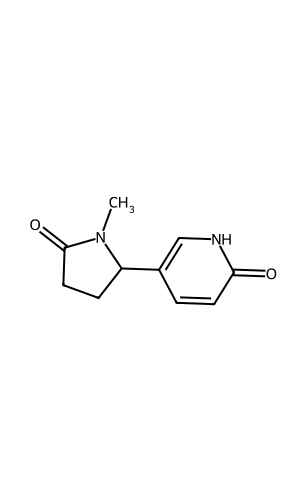 CN1C(=O)CCC1c1ccc(=O)[nH]c1